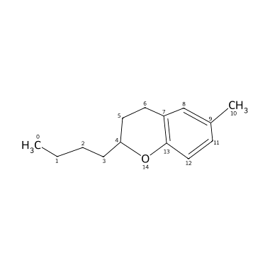 CCCCC1CCc2cc(C)ccc2O1